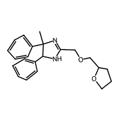 CC1(c2ccccc2)N=C(COCC2CCCO2)NC1c1ccccc1